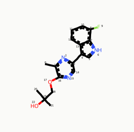 Cc1nc(-c2c[nH]c3c(F)cccc23)cnc1OCC(C)(C)O